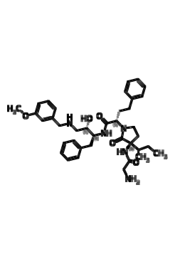 CCC(C)[C@@]1(NC(=O)CN)CCN([C@@H](CCc2ccccc2)C(=O)N[C@@H](Cc2ccccc2)[C@@H](O)CNCc2cccc(OC)c2)C1=O